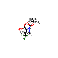 CC(C)(C)OC(=O)N[C@@H](C(=O)O)C(C)(C)C(F)(F)F